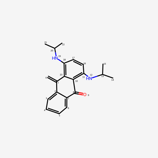 C=C1c2ccccc2C(=O)c2c(NC(C)C)ccc(NC(C)C)c21